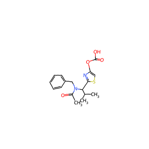 CC(=O)N(Cc1ccccc1)C(c1nc(OC(=O)O)cs1)C(C)C